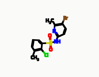 Cc1cccc(S(=O)(=O)Nc2ccc(Br)c(C)n2)c1Cl